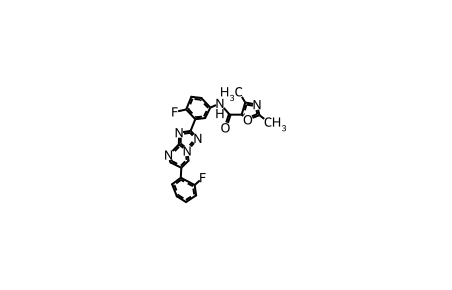 Cc1nc(C)c(C(=O)Nc2ccc(F)c(-c3nc4ncc(-c5ccccc5F)cn4n3)c2)o1